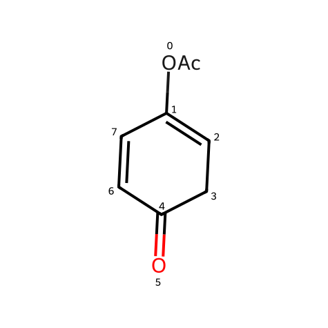 CC(=O)OC1=CCC(=O)C=C1